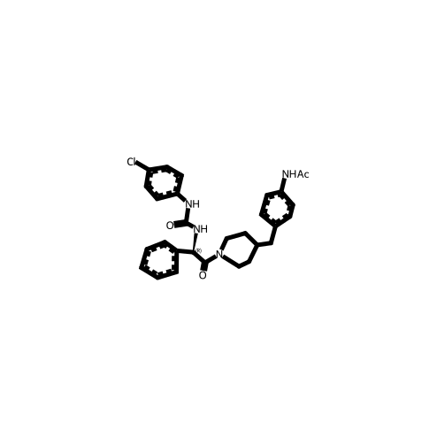 CC(=O)Nc1ccc(CC2CCN(C(=O)[C@H](NC(=O)Nc3ccc(Cl)cc3)c3ccccc3)CC2)cc1